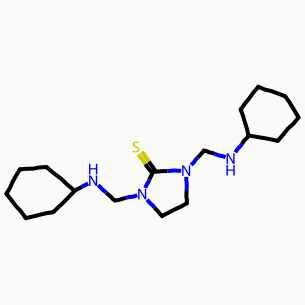 S=C1N(CNC2CCCCC2)CCN1CNC1CCCCC1